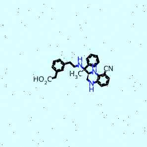 C[C@](NCCc1cccc(CC(=O)O)c1)(c1ccccc1)[C@@H]1CNc2cccc(C#N)c2N1